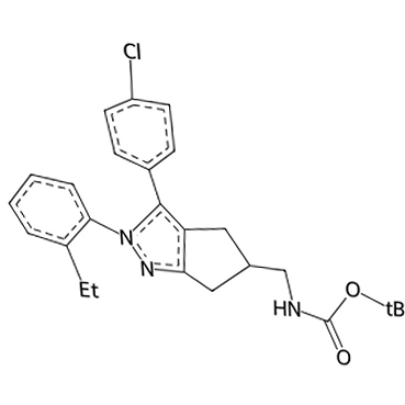 CCc1ccccc1-n1nc2c(c1-c1ccc(Cl)cc1)CC(CNC(=O)OC(C)(C)C)C2